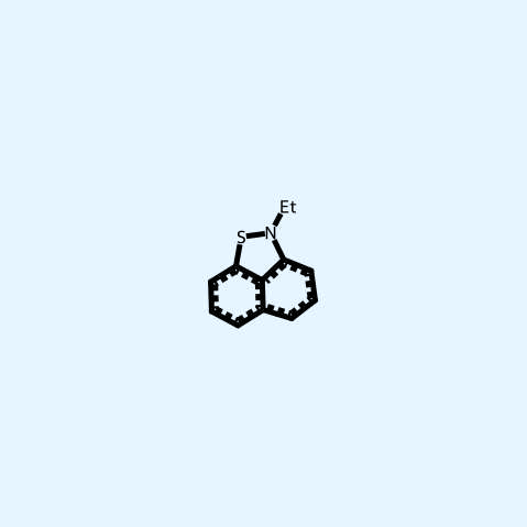 CCN1Sc2cccc3cccc1c23